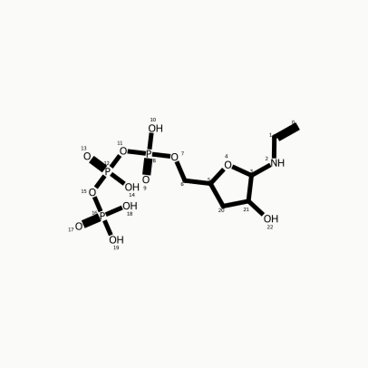 C=CNC1OC(COP(=O)(O)OP(=O)(O)OP(=O)(O)O)CC1O